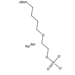 CCCCCCCCCCCCCOCCOP(=O)([O-])[O-].[Na+].[Na+]